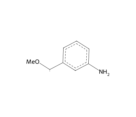 CO[CH]c1cccc(N)c1